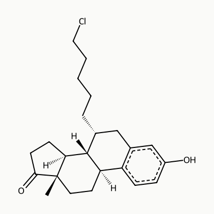 C[C@]12CC[C@@H]3c4ccc(O)cc4C[C@@H](CCCCCCl)[C@H]3[C@@H]1CCC2=O